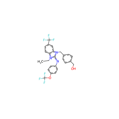 CCn1/c(=N\c2ccc(OC(F)(F)F)cc2)n(Cc2ccc(CO)cc2)c2cc(C(F)(F)F)ccc21